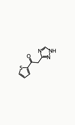 O=C(Cc1nc[nH]n1)c1cccs1